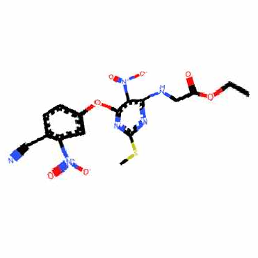 CCOC(=O)CNc1nc(SC)nc(Oc2ccc(C#N)c([N+](=O)[O-])c2)c1[N+](=O)[O-]